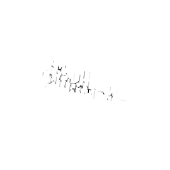 CCCn1c(=O)c2[nH]c(-c3cc(NC(=O)CCCNC(=O)O)nn3C)nc2n(CCC)c1=O